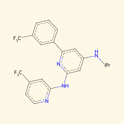 CC(C)Nc1cc(Nc2cc(C(F)(F)F)ccn2)nc(-c2cccc(C(F)(F)F)c2)c1